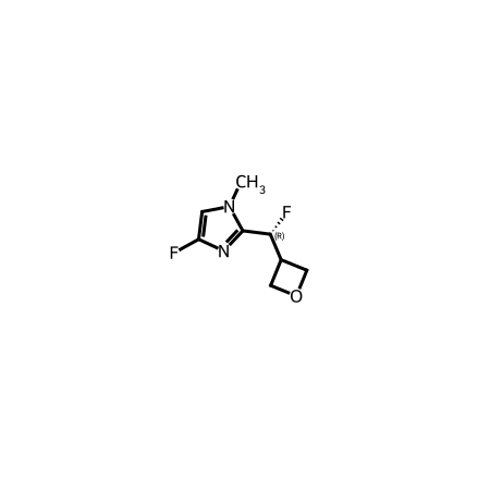 Cn1cc(F)nc1[C@H](F)C1COC1